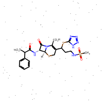 CS(=O)(=O)NCCC(Sc1nnn[nH]1)C1=C(C(=O)O)N2C(=O)[C@@H](NC(=O)C(c3ccccc3)S(=O)(=O)O)[C@@H]2SC1